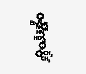 CCc1nc2c(NCC(O)CN3CCN(c4cccc(C)c4C)CC3)ncnc2n1-c1ccccc1